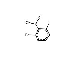 Fc1cccc(Br)c1C(Cl)Cl